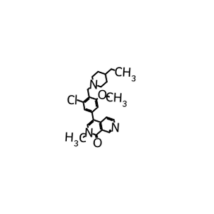 CCC1CCN(Cc2c(Cl)cc(-c3cn(C)c(=O)c4cnccc34)cc2OC)CC1